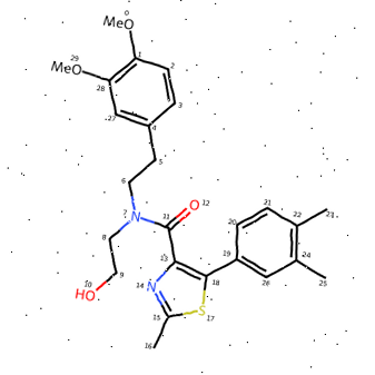 COc1ccc(CCN(CCO)C(=O)c2nc(C)sc2-c2ccc(C)c(C)c2)cc1OC